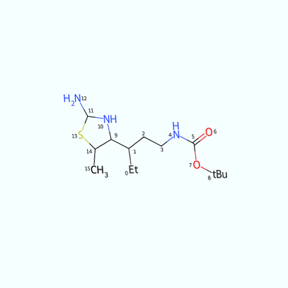 CCC(CCNC(=O)OC(C)(C)C)C1NC(N)SC1C